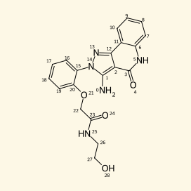 Nc1c2c(=O)[nH]c3ccccc3c2nn1-c1ccccc1OCC(=O)NCCO